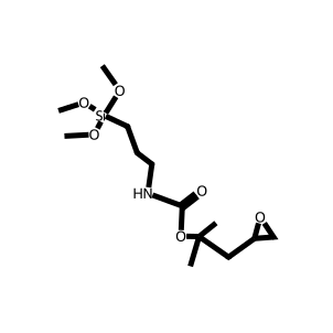 CO[Si](CCCNC(=O)OC(C)(C)CC1CO1)(OC)OC